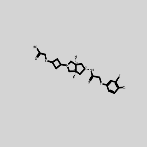 O=C(O)COC1CC(N2C[C@H]3C[C@H](NC(=O)COc4ccc(Cl)c(F)c4)C[C@H]3C2)C1